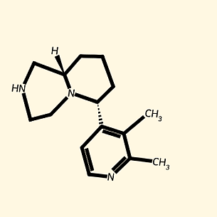 Cc1nccc([C@H]2CCC[C@H]3CNCCN32)c1C